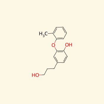 Cc1ccccc1Oc1cc(CCCO)ccc1O